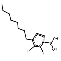 CCCCCCCCc1ccc(B(O)O)c(F)c1F